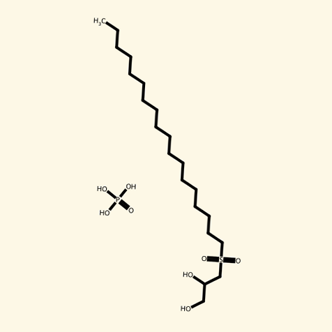 CCCCCCCCCCCCCCCCCCS(=O)(=O)CC(O)CO.O=P(O)(O)O